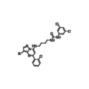 O=C(NCCCCNc1cc(-c2ccccc2Cl)nc2c(Br)cnn12)Nc1cc(Cl)cc(Cl)c1